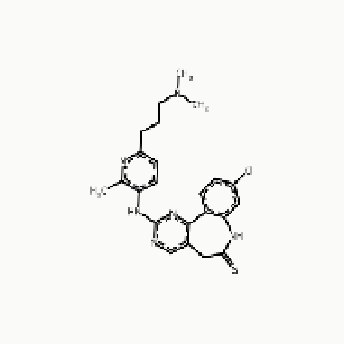 Cc1nc(CCCN(C)C)ccc1Nc1ncc2c(n1)-c1ccc(Cl)cc1NC(=S)C2